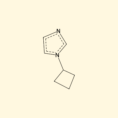 c1cn(C2CCC2)cn1